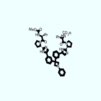 COC(=O)N[C@H](C(=O)N1CCC[C@H]1c1ncc(-c2cccc(C3(c4cccc(-c5cnc([C@@H]6CCCN6C(=O)C(NC(=O)O)C(C)C)[nH]5)c4)CN(c4ccccc4)C3)c2)[nH]1)C(C)C